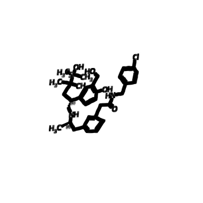 C[C@H](Cc1cccc(CC(=O)NCc2ccc(Cl)cc2)c1)NC[C@H](CC(C)(C)[Si](C)(C)O)c1ccc(O)c(CO)c1